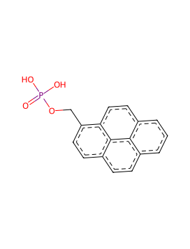 O=P(O)(O)OCc1ccc2ccc3cccc4ccc1c2c34